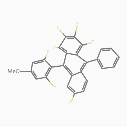 COc1cc(F)c(-c2c3cc(F)ccc3c(-c3ccccc3)c3c(F)c(F)c(F)c(F)c23)c(F)c1